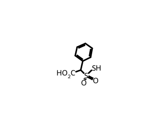 O=C(O)C(c1ccccc1)S(=O)(=O)S